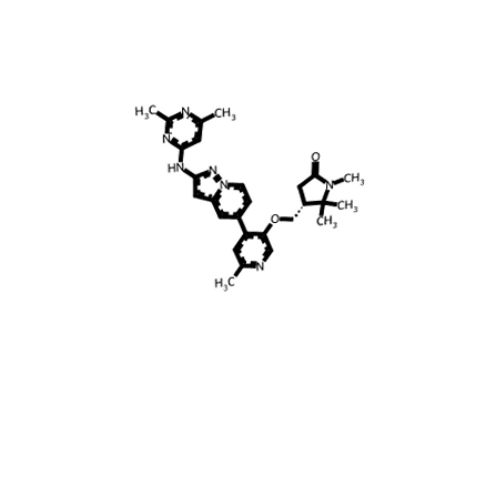 Cc1cc(-c2ccn3nc(Nc4cc(C)nc(C)n4)cc3c2)c(OC[C@@H]2CC(=O)N(C)C2(C)C)cn1